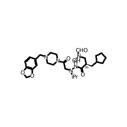 CC(C)N(CC(=O)N1CCN(Cc2ccc3c(c2)OCO3)CC1)NC(=O)[C@H](CC1CCCC1)CN(O)C=O